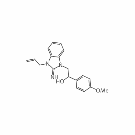 C=CCn1c(=N)n(CC(O)c2ccc(OC)cc2)c2ccccc21